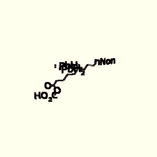 CCCCCCCCCCCCCCCCCC(=O)OC(=O)O.[PbH2].[PbH2]